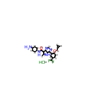 Cc1[nH]c2c(-c3cc(C(F)F)ccc3OCC3CC3)ncnc2c1C(=O)N[C@H]1CC[C@H](N)CC1.Cl